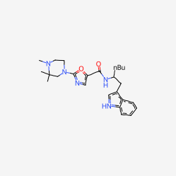 CCCCC(Cc1c[nH]c2ccccc12)NC(=O)c1cnc(N2CCN(C)C(C)(C)C2)o1